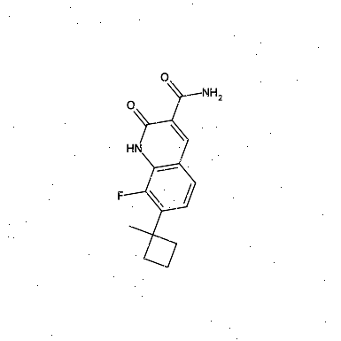 CC1(c2ccc3cc(C(N)=O)c(=O)[nH]c3c2F)CCC1